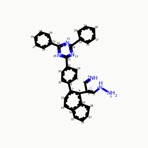 N=C/C(=C\NN)c1c(-c2ccc(-c3nc(-c4ccccc4)nc(-c4ccccc4)n3)cc2)ccc2ccccc12